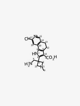 CN1CC(CN)(c2[nH]c3c(c2C(=O)O)CCc2cnc(Cl)cc2-3)C1